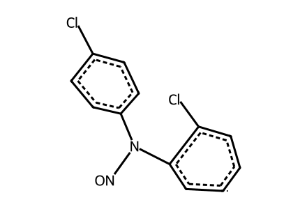 O=NN(c1ccc(Cl)cc1)c1c[c]ccc1Cl